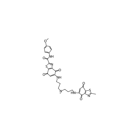 COc1ccc(NC(=O)c2nc3c(s2)C(=O)C=C(NCCCN(C)CCCNC2=CC(=O)c4sc(C)nc4C2=O)C3=O)cc1